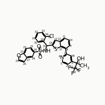 C[C@](O)(c1ccnc(-c2cccc3cc(C(NS(=O)(=O)c4ccc5occc5c4)c4ccccc4Cl)sc23)c1)C(F)(F)F